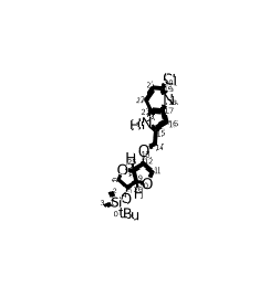 CC(C)(C)[Si](C)(C)O[C@@H]1CO[C@H]2[C@@H]1OC[C@H]2OCc1cc2nc(Cl)ccc2[nH]1